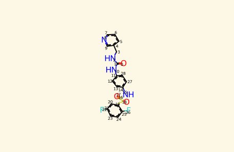 O=C(NCc1cccnc1)Nc1ccc(NS(=O)(=O)c2cc(F)ccc2F)cc1